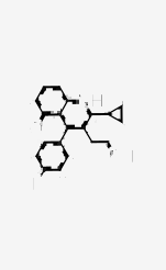 C=CCc1c(C2CC2)[nH]c2cccc(=O)c-2c1-c1ccc(F)cc1